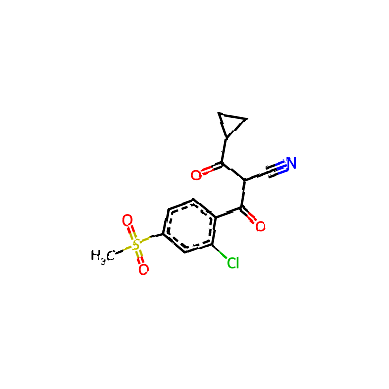 CS(=O)(=O)c1ccc(C(=O)C(C#N)C(=O)C2CC2)c(Cl)c1